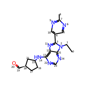 CCn1c(-c2cnc(C)nc2)nc2c(N[C@H]3CC[C@@H]([C]=O)C3)ncnc21